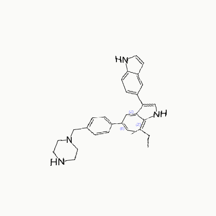 C\C=C(/C=c1/c(-c2ccc3[nH]ccc3c2)c[nH]/c1=C(/C)CC)c1ccc(CN2CCNCC2)cc1